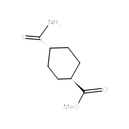 COC(=O)[C@H]1CC[C@H](C(N)=S)CC1